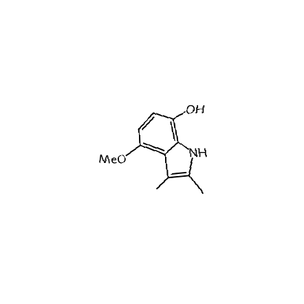 COc1ccc(O)c2[nH]c(C)c(C)c12